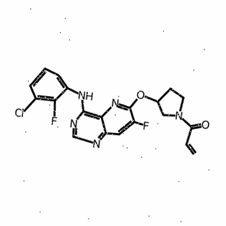 C=CC(=O)N1CCC(Oc2nc3c(Nc4cccc(Cl)c4F)ncnc3cc2F)C1